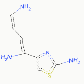 N/C=C\C=C(/N)c1csc(N)n1